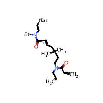 C=CCN(CCC(C)(C)C/C=C/C(=O)N(CC)CCC(C)(C)C)C(=O)C=C